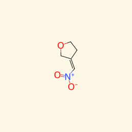 O=[N+]([O-])C=C1CCOC1